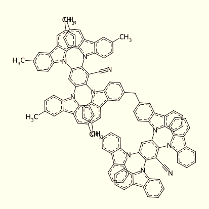 Cc1ccc2c(c1)c1cc(C)ccc1n2-c1cc(-n2c3ccc(C)cc3c3cc(C)ccc32)c(-n2c3ccc(C)cc3c3cc(Cc4ccc5c(c4)c4ccccc4n5-c4cc(-n5c6ccccc6c6ccccc65)c(-n5c6ccccc6c6ccccc65)c(C#N)c4-n4c5ccccc5c5ccccc54)ccc32)c(C#N)c1-n1c2ccc(C)cc2c2cc(C)ccc21